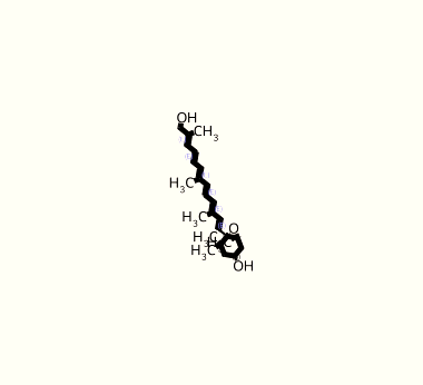 CC(/C=C/C=C(C)/C=C/[C@@]12O[C@]1(C)C[C@@H](O)CC2(C)C)=C\C=C\C=C(/C)CO